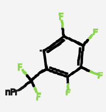 CCCC(F)(F)c1[c]c(F)c(F)c(F)c1F